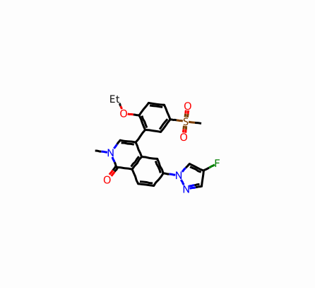 CCOc1ccc(S(C)(=O)=O)cc1-c1cn(C)c(=O)c2ccc(-n3cc(F)cn3)cc12